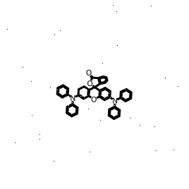 O=C1OC2(C3=C(C=C(N(c4ccccc4)c4ccccc4)CC3)Oc3cc(N(c4ccccc4)c4ccccc4)ccc32)c2ccccc21